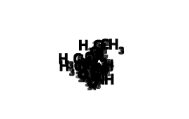 CC[C@H](NC)C(=O)N[C@H]1CN(C(=O)CC(C)C)CC[C@H]2CC[C@@H](c3nc4c(-c5ccccc5)cccc4[nH]3)N2C1=O